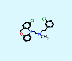 CN(CCc1cccc(Cl)c1)CCN1c2cc(Cl)ccc2COc2ccccc21